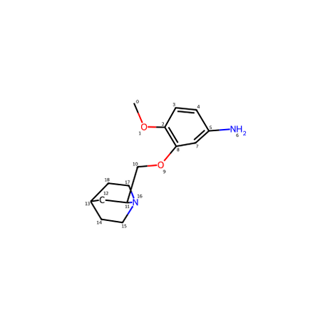 COc1ccc(N)cc1OCC1CC2CCN1CC2